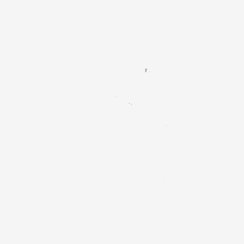 Cl.O=C(NC1CNCCCC1OC(=O)c1ccc(O)cc1)c1ccc(O)cc1